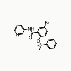 C[C@@H](Oc1ccc(Br)cc1C(=O)Nc1cccnc1)c1ccccc1